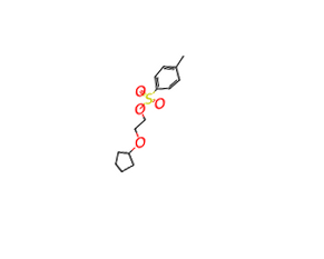 Cc1ccc(S(=O)(=O)OCCOC2CCCC2)cc1